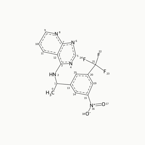 CC(Nc1ncnc2ncccc12)c1cc([N+](=O)[O-])cc(C(F)(F)F)c1